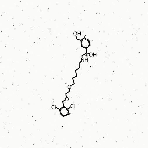 OCc1[c]ccc([C@@H](O)CNCCCCCCOCCOCc2c(Cl)cccc2Cl)c1